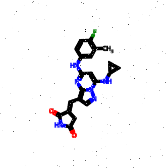 Cc1cc(Nc2cc(NC3CC3)n3ncc(C=C4CC(=O)NC4=O)c3n2)ccc1F